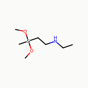 CCNCC[Si](C)(OC)OC